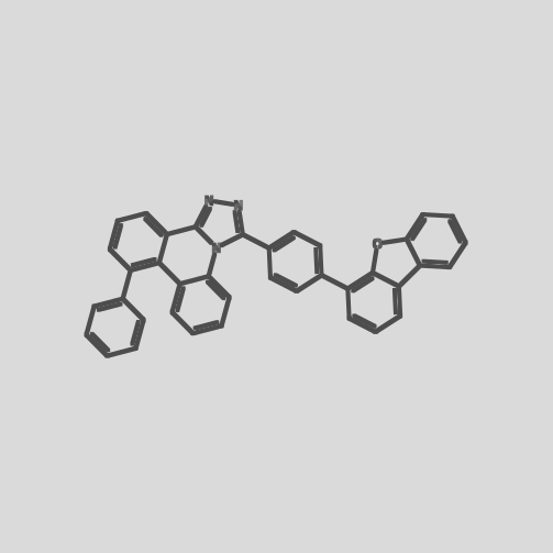 c1ccc(-c2cccc3c2c2ccccc2n2c(-c4ccc(-c5cccc6c5oc5ccccc56)cc4)nnc32)cc1